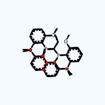 CCC(P(c1c(OC)cccc1OC)c1c(OC)cccc1OC)P(c1c(OC)cccc1OC)c1c(OC)cccc1OC